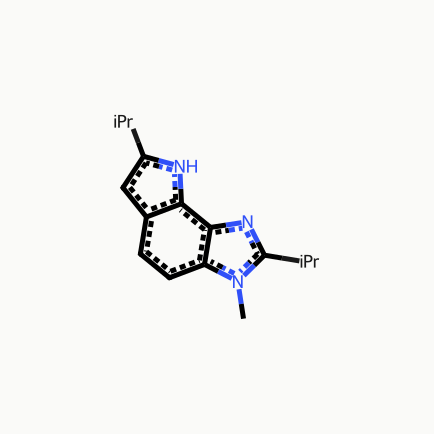 CC(C)c1cc2ccc3c(nc(C(C)C)n3C)c2[nH]1